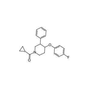 O=C(C1CC1)N1CCC(Oc2ccc(F)cc2)C(c2ccccc2)C1